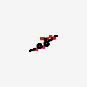 CCCCOc1cccc(Oc2ccc3c(c2)B(O)OC3CC(=O)OCC)c1